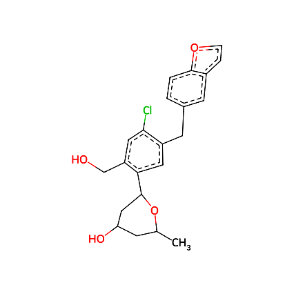 CC1CC(O)CC(c2cc(Cc3ccc4occc4c3)c(Cl)cc2CO)O1